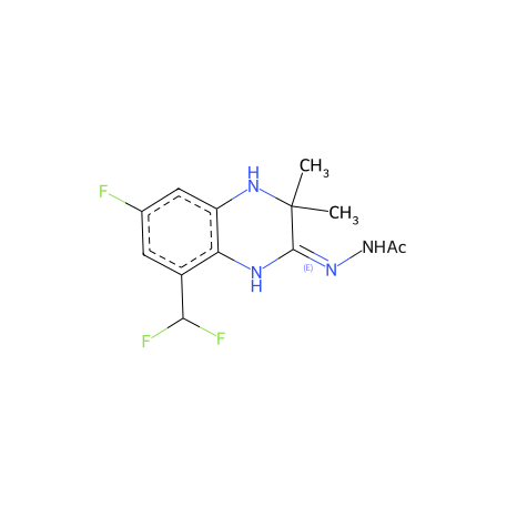 CC(=O)N/N=C1/Nc2c(cc(F)cc2C(F)F)NC1(C)C